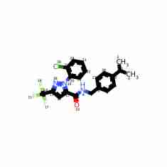 CC(C)c1ccc(CNC(=O)c2cc(C(F)(F)F)nn2-c2ccccc2Cl)cc1